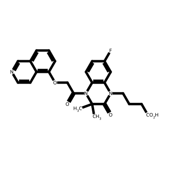 CC1(C)C(=O)N(CCCC(=O)O)c2cc(F)ccc2N1C(=O)COc1cccc2cnccc12